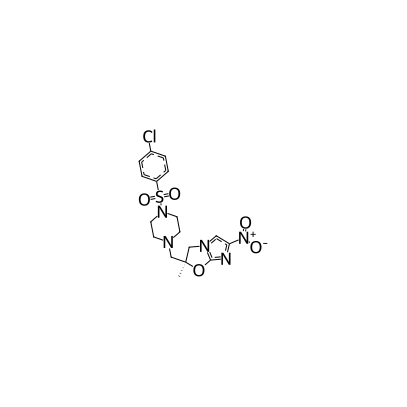 C[C@]1(CN2CCN(S(=O)(=O)c3ccc(Cl)cc3)CC2)Cn2cc([N+](=O)[O-])nc2O1